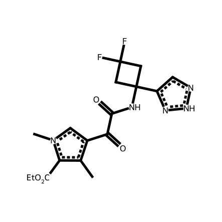 CCOC(=O)c1c(C)c(C(=O)C(=O)NC2(c3cn[nH]n3)CC(F)(F)C2)cn1C